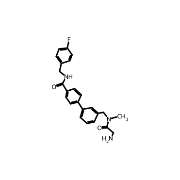 CN(Cc1cccc(-c2ccc(C(=O)NCc3ccc(F)cc3)cc2)c1)C(=O)CN